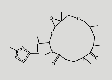 CC(=Cc1csc(C)n1)C1CC2OC2(C)CCCC(C)CC(C)C(=O)C(C)(C)CCC(=O)N1C